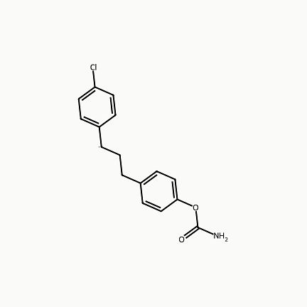 NC(=O)Oc1ccc(CC[CH]c2ccc(Cl)cc2)cc1